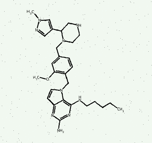 CCCCCNc1nc(N)nc2ccn(Cc3ccc(CN4CCNCC4c4cnn(C)c4)cc3OC)c12